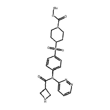 CC(C)(C)OC(=O)N1CCC(S(=O)(=O)c2ccc(N(C(=O)C3CNC3)c3cccnn3)cc2)CC1